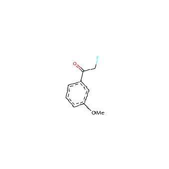 COc1cccc(C(=O)CF)c1